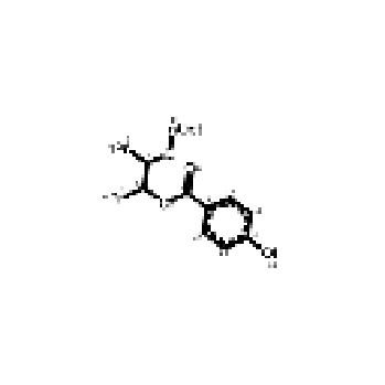 CCCCCCCCOC(CCC)C(CCC)OC(=O)c1ccc(O)cc1